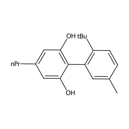 CCCc1cc(O)c(-c2cc(C)ccc2C(C)(C)C)c(O)c1